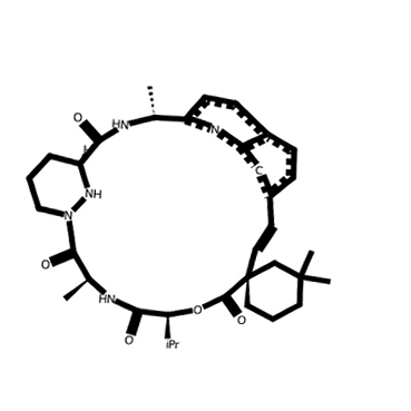 CC(C)[C@@H]1OC(=O)[C@@]2(/C=C/c3ccc4ccc(nc4c3)[C@@H](C)NC(=O)[C@@H]3CCCN(N3)C(=O)[C@H](C)NC1=O)CCCC(C)(C)C2